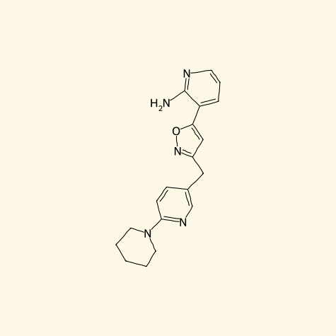 Nc1ncccc1-c1cc(Cc2ccc(N3CCCCC3)nc2)no1